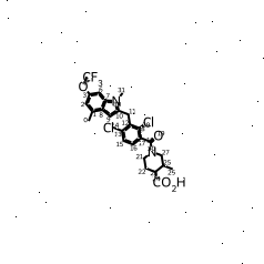 Cc1cc(OC(F)(F)F)cc2c1cc(Cc1c(Cl)ccc(C(=O)N3CCC(C(=O)O)C(C)C3)c1Cl)n2C